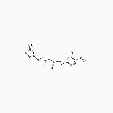 COc1ccc(C=CC(=O)CC(=O)C=Cc2cnn(C)c2)cc1O